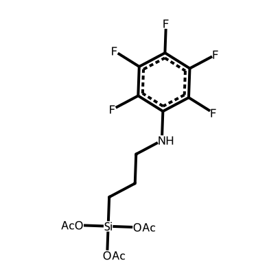 CC(=O)O[Si](CCCNc1c(F)c(F)c(F)c(F)c1F)(OC(C)=O)OC(C)=O